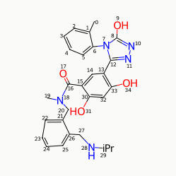 Cc1ccccc1-n1c(O)nnc1-c1cc(C(=O)N(C)Cc2ccccc2CNC(C)C)c(O)cc1O